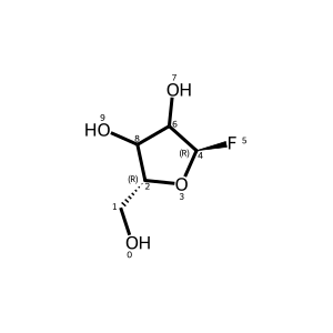 OC[C@H]1O[C@H](F)C(O)C1O